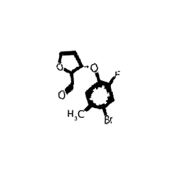 Cc1cc(O[C@H]2CCOC2C=O)c(F)cc1Br